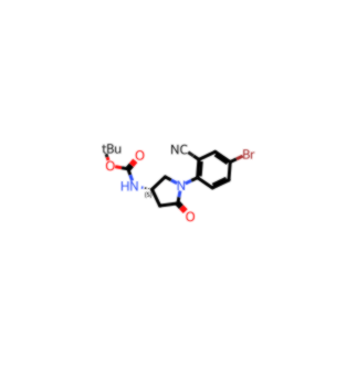 CC(C)(C)OC(=O)N[C@H]1CC(=O)N(c2ccc(Br)cc2C#N)C1